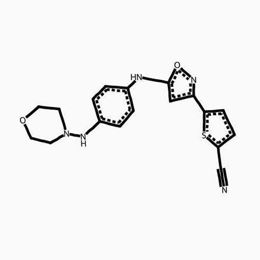 N#Cc1ccc(-c2cc(Nc3ccc(NN4CCOCC4)cc3)on2)s1